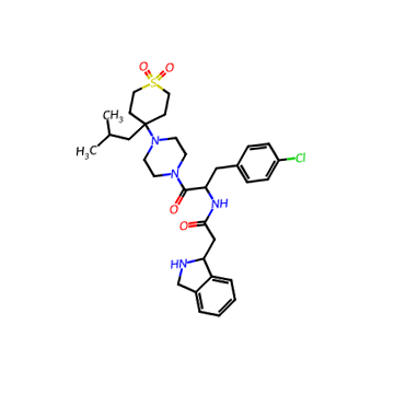 CC(C)CC1(N2CCN(C(=O)C(Cc3ccc(Cl)cc3)NC(=O)CC3NCc4ccccc43)CC2)CCS(=O)(=O)CC1